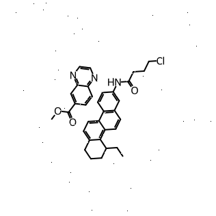 CCC1CCCc2ccc3c(ccc4cc(NC(=O)CCCCl)ccc43)c21.COC(=O)c1ccc2nccnc2c1